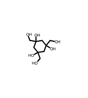 OCC1(O)CC(O)(CO)CC(O)(CO)C1